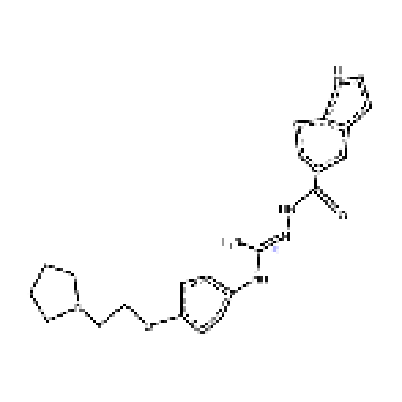 N/C(=N\NC(=O)c1ccc2[nH]ccc2c1)Nc1ccc(OCCN2CCCC2)cc1